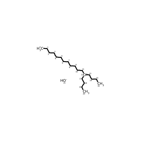 CCCCCCCCCCCC[O+](CCCC)CCCC.[OH-]